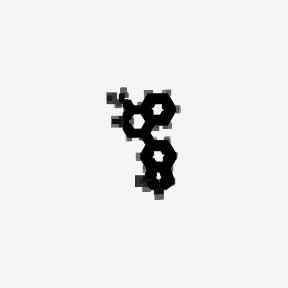 CC1NCC(c2ccc3cn[nH]c3c2)c2ccccc21